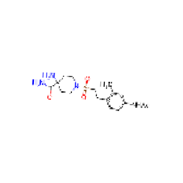 CC(=O)Nc1ccc(CCS(=O)(=O)N2CCC(N)(C(N)=O)CC2)c(C)c1